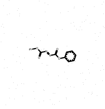 CC(C)OC(=O)/N=N/C(=O)Oc1ccccc1